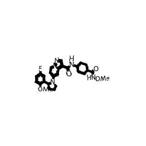 CONC(=O)C1CCC(NC(=O)c2cnn3ccc(N4CCCC4c4cc(F)ccc4OC)cc23)CC1